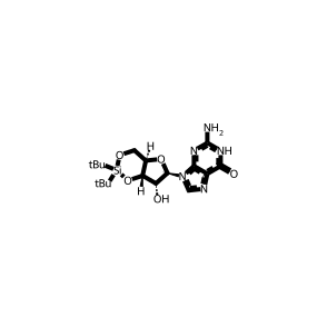 CC(C)(C)[Si]1(C(C)(C)C)OC[C@H]2O[C@@H](n3cnc4c(=O)[nH]c(N)nc43)[C@H](O)[C@@H]2O1